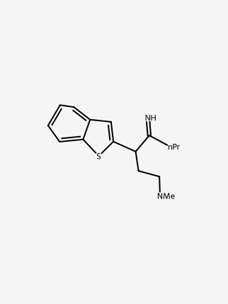 CCCC(=N)C(CCNC)c1cc2ccccc2s1